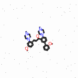 COc1ccc(C=CC(=O)c2cc(-c3ccccc3OC)ccc2N2CCN(C)CC2)c(N2CCN(C)CC2)c1